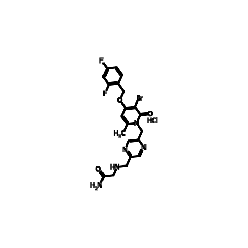 Cc1cc(OCc2ccc(F)cc2F)c(Br)c(=O)n1Cc1cnc(CNCC(N)=O)cn1.Cl